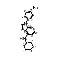 CC(C)(C)c1ccc(-n2ccc3c(NC4CCCCC4)ccnc32)cc1